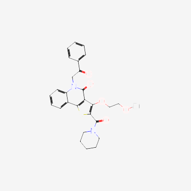 CCOCCOc1c(C(=O)N2CCCCC2)sc2c1c(=O)n(CC(=O)c1ccccc1)c1ccccc21